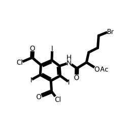 CC(=O)OC(CCCBr)C(=O)Nc1c(I)c(C(=O)Cl)c(I)c(C(=O)Cl)c1I